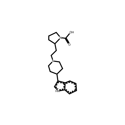 O=C(O)N1CCCC1CCN1CCC(c2c[nH]c3ccccc23)CC1